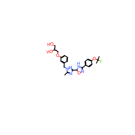 Cc1nc(C2NC(c3ccc(OC(C)(C)F)cc3)=NO2)nn1Cc1cccc(OCC(O)CO)c1